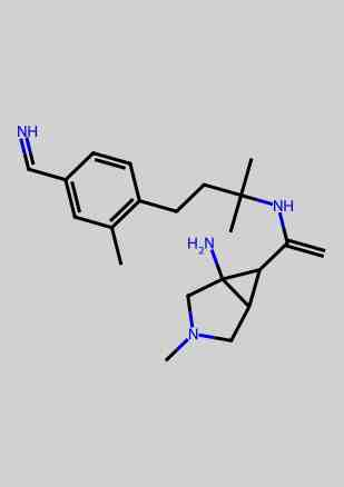 C=C(NC(C)(C)CCc1ccc(C=N)cc1C)C1C2CN(C)CC21N